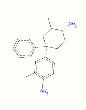 Cc1cc(C2(c3ccccc3)CCC(N)C(C)C2)ccc1N